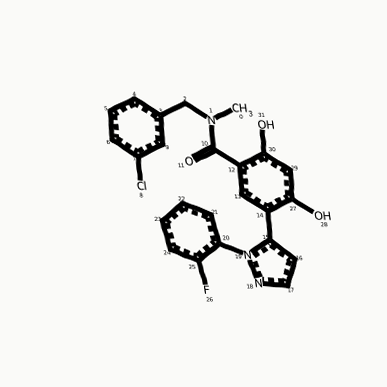 CN(Cc1cccc(Cl)c1)C(=O)c1cc(-c2ccnn2-c2ccccc2F)c(O)cc1O